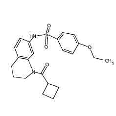 CCOc1ccc(S(=O)(=O)Nc2ccc3c(c2)N(C(=O)C2CCC2)CCC3)cc1